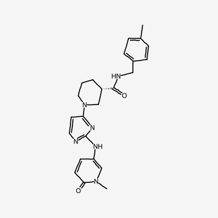 Cc1ccc(CNC(=O)[C@H]2CCCN(c3ccnc(Nc4ccc(=O)n(C)c4)n3)C2)cc1